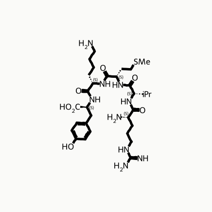 CSCC[C@H](NC(=O)[C@@H](NC(=O)[C@@H](N)CCCNC(=N)N)C(C)C)C(=O)N[C@@H](CCCCN)C(=O)N[C@@H](Cc1ccc(O)cc1)C(=O)O